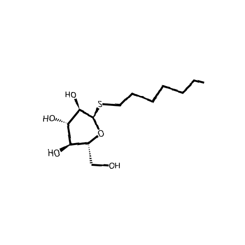 CCCCCCCS[C@H]1O[C@H](CO)[C@@H](O)[C@H](O)[C@H]1O